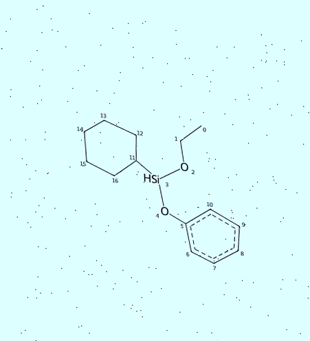 CCO[SiH](Oc1ccccc1)C1CCCCC1